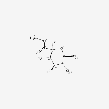 COC(=O)[C@@]1(Br)O[C@@H](C)[C@H](C)[C@@H](C)[C@@H]1C